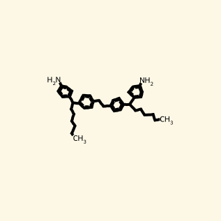 CCCCCCC(c1ccc(N)cc1)c1ccc(CCc2ccc(C(CCCCCC)c3ccc(N)cc3)cc2)cc1